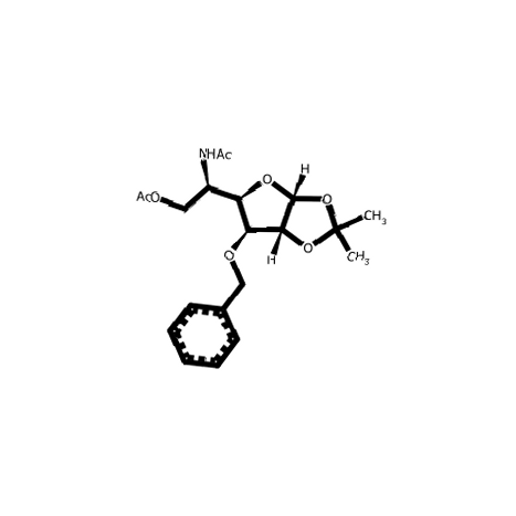 CC(=O)N[C@H](COC(C)=O)[C@H]1O[C@@H]2OC(C)(C)O[C@@H]2[C@H]1OCc1ccccc1